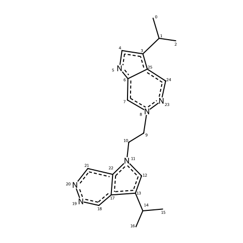 CC(C)c1cnc2cn(CCn3cc(C(C)C)c4cnncc43)ncc1-2